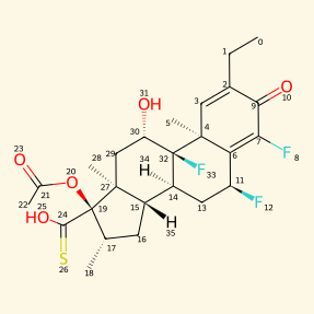 CCC1=C[C@@]2(C)C(=C(F)C1=O)[C@@H](F)C[C@H]1[C@@H]3C[C@H](C)[C@](OC(C)=O)(C(O)=S)[C@@]3(C)C[C@H](O)[C@@]12F